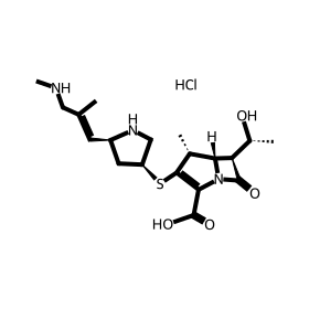 CNC/C(C)=C/[C@@H]1C[C@H](SC2=C(C(=O)O)N3C(=O)[C@H]([C@@H](C)O)[C@H]3[C@H]2C)CN1.Cl